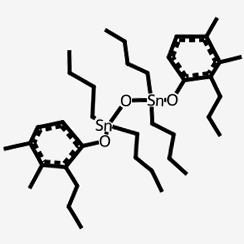 CCC[CH2][Sn]([CH2]CCC)([O]c1ccc(C)c(C)c1CCC)[O][Sn]([CH2]CCC)([CH2]CCC)[O]c1ccc(C)c(C)c1CCC